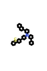 c1ccc(-c2cccc(N(c3ccc(-c4ccc5c(c4)sc4ccccc45)cc3)c3cccc(-c4ccc5ccccc5c4)c3)c2)cc1